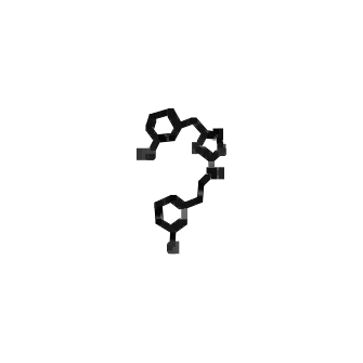 Oc1cccc(Cc2nsc(NCCc3cccc(Cl)c3)n2)c1